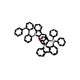 c1ccc(-c2ccccc2-c2ccccc2-n2c3ccccc3c3ccc(-n4c5ccccc5c5cccc([Si](c6ccccc6)(c6ccccc6)c6ccccc6)c54)cc32)cc1